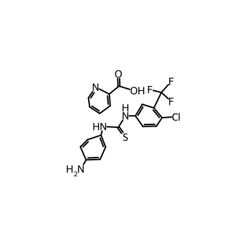 Nc1ccc(NC(=S)Nc2ccc(Cl)c(C(F)(F)F)c2)cc1.O=C(O)c1ccccn1